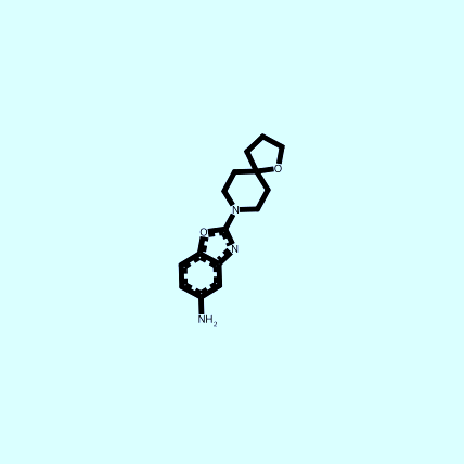 Nc1ccc2oc(N3CCC4(CCCO4)CC3)nc2c1